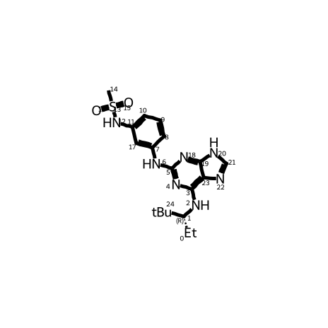 CC[C@@H](Nc1nc(Nc2cccc(NS(C)(=O)=O)c2)nc2[nH]cnc12)C(C)(C)C